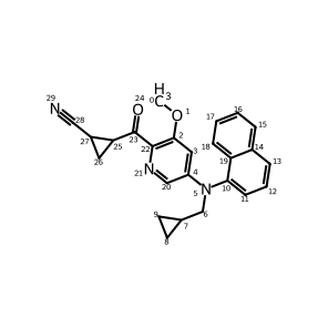 COc1cc(N(CC2CC2)c2cccc3ccccc23)cnc1C(=O)C1CC1C#N